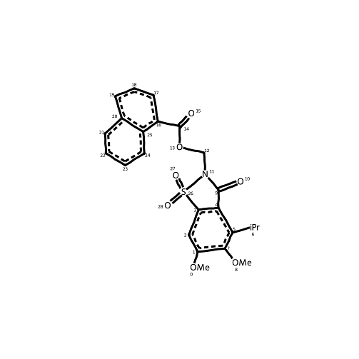 COc1cc2c(c(C(C)C)c1OC)C(=O)N(COC(=O)c1cccc3ccccc13)S2(=O)=O